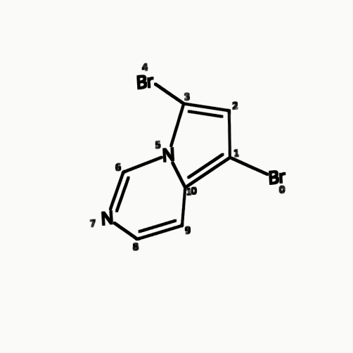 Brc1cc(Br)n2cnccc12